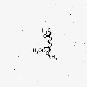 CCC(=O)OCOC(COC)COC